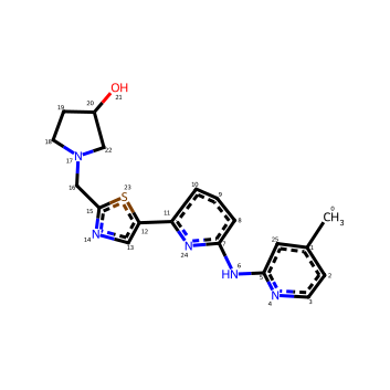 Cc1ccnc(Nc2cccc(-c3cnc(CN4CCC(O)C4)s3)n2)c1